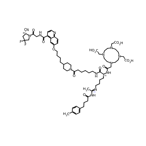 C/C(=N\CCCC[C@H](NC(=O)CN1CCN(CC(=O)O)CCN(CC(=O)O)CCN(CC(=O)O)CC1)C(=O)NCCCCCC(=O)N1CCC(CCCCOc2ccc3nccc(C(=O)NCC(=O)N4CC(F)(F)C[C@@H]4C#N)c3c2)CC1)NC(=O)CCCc1ccc(C)cc1